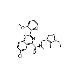 CCn1ncc(CN(C)C(=O)c2nc(-c3ncccc3OC)nc3ccc(Cl)cc23)c1C